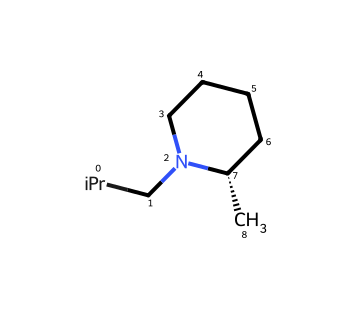 CC(C)CN1CCCC[C@@H]1C